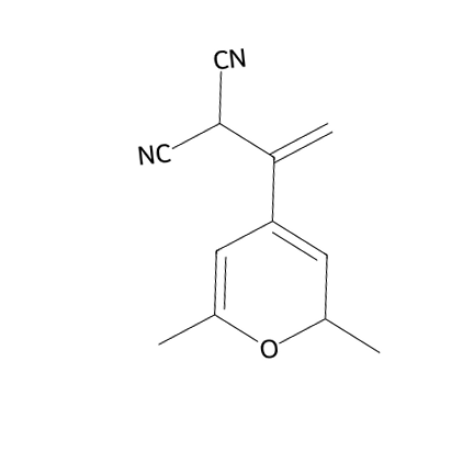 C=C(C1=CC(C)OC(C)=C1)C(C#N)C#N